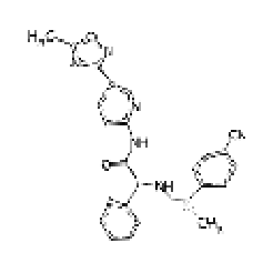 Cc1nc(-c2ccc(NC(=O)C(NC[C@@H](C)c3ccc(C#N)cc3)c3ccccc3)nc2)no1